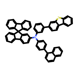 c1cc(-c2ccc3c(c2)sc2ccccc23)cc(N(c2ccc(-c3cccc4ccccc34)cc2)c2ccc3c(c2)C2(c4ccccc4-c4ccccc42)c2ccccc2-3)c1